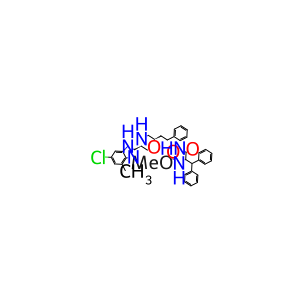 COC(=O)N[C@H](C(=O)Nc1ccccc1CC[C@@H]1CN[C@H](c2nc3c(C)cc(Cl)cc3[nH]2)CO1)C(c1ccccc1)c1ccccc1